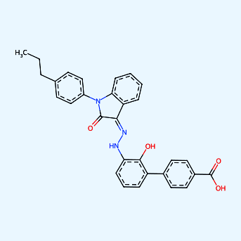 CCCc1ccc(N2C(=O)C(=NNc3cccc(-c4ccc(C(=O)O)cc4)c3O)c3ccccc32)cc1